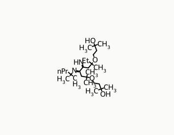 CCCC(C)(C)/N=C(\CC(C)(C)OCCC(C)(C)O)C(=N)CC(C)(CC)OCCC(C)(C)O